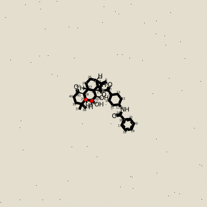 C=C1C(=O)[C@]23[C@H](OC(=O)C4CCC(NC(=O)c5ccccc5)CC4)[C@H]1CC[C@H]2[C@@]12CO[C@]3(O)[C@@H](O)[C@@H]1C(C)(C)CCC2=O